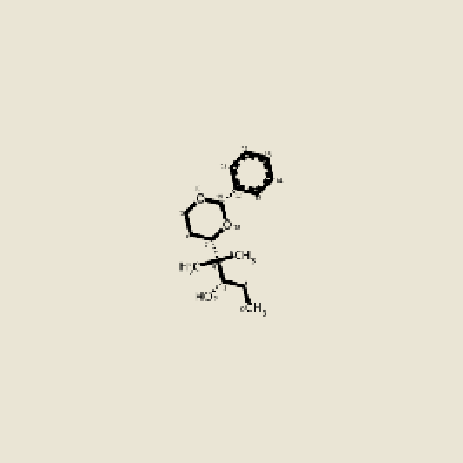 CC[C@H](O)C(C)(C)[C@@H]1CCO[C@H](c2ccccc2)O1